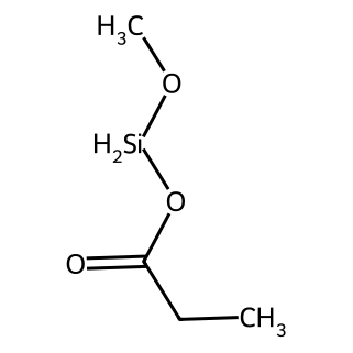 CCC(=O)O[SiH2]OC